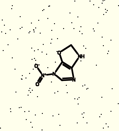 O=[N+]([O-])n1cnc2c1OCN2